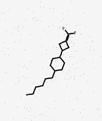 CCCCCCC1CCC(C2CC(=C(F)F)C2)CC1